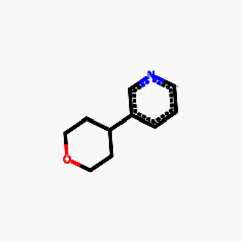 [c]1ccc(C2CCOCC2)cn1